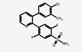 Cc1cc(-c2cccnc2-c2cc(F)c(S(N)(=O)=O)cc2F)ccc1Cl